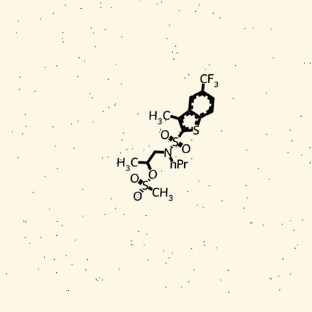 CCCN(CC(C)OS(C)(=O)=O)S(=O)(=O)c1sc2ccc(C(F)(F)F)cc2c1C